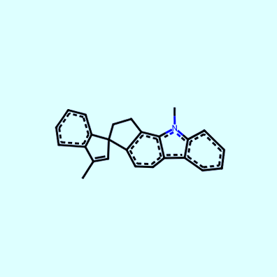 CC1=CC2(CCc3c2ccc2c4ccccc4n(C)c32)c2ccccc21